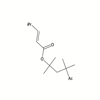 CC(=O)C(C)(C)CC(C)(C)OC(=O)C=CC(C)C